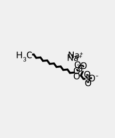 CCCCCCCCCCCCCCOC(CS(=O)(=O)[O-])CS(=O)(=O)[O-].[Na+].[Na+]